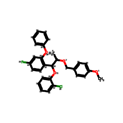 COc1ccc(COC(C)C(Oc2ccccc2Cl)c2ccc(F)cc2Oc2ccccc2)cc1